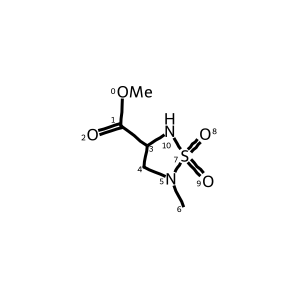 COC(=O)C1CN(C)S(=O)(=O)N1